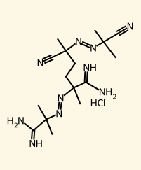 CC(C)(C#N)N=NC(C)(C#N)CCC(C)(N=NC(C)(C)C(=N)N)C(=N)N.Cl